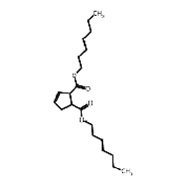 CCCCCCCOC(=O)C1C=CCC1C(=O)OCCCCCCC